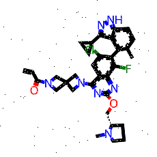 C=CC(=O)N1CC2(C1)CN(c1nc(OC[C@@H]3CCCN3C)nc3c(F)c(-c4c(C)ccc5[nH]nc(C6CC6)c45)c(Cl)cc13)C2